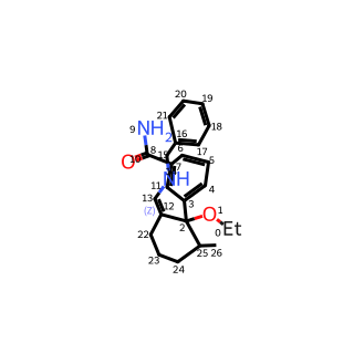 CCOC1(c2cccc(C(N)=O)c2)/C(=C\NCc2ccccc2)CCCC1C